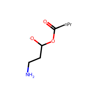 CCCC(=O)OC([O])CCN